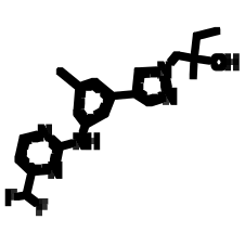 CCC(C)(O)Cn1cc(-c2cc(C)cc(Nc3nccc(C(F)F)n3)c2)cn1